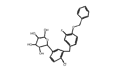 OC1OC(c2ccc(Cl)c(Cc3ccc(OCc4ccccc4)c(F)c3)c2)C(O)C(O)C1O